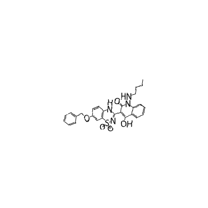 CCCCNn1c(=O)c(C2=NS(=O)(=O)c3cc(OCc4ccccc4)ccc3N2)c(O)c2ccccc21